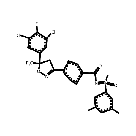 Cc1cc(C)cc(S(C)(=O)=NC(=O)c2ccc(C3=NOC(c4cc(Cl)c(F)c(Cl)c4)(C(F)(F)F)C3)cc2)c1